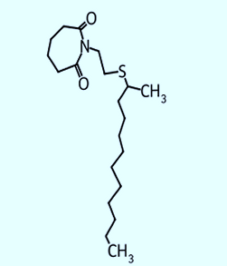 CCCCCCCCCCC(C)SCCN1C(=O)CCCCC1=O